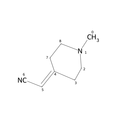 CN1CCC(=CC#N)CC1